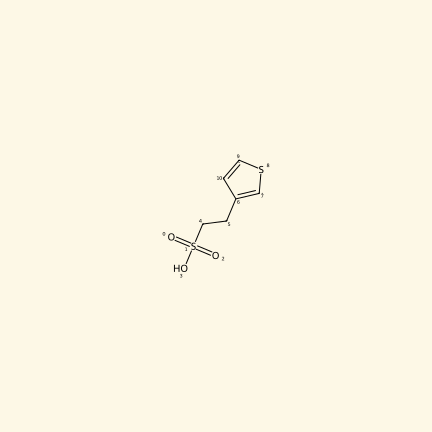 O=S(=O)(O)CCc1[c]s[c]c1